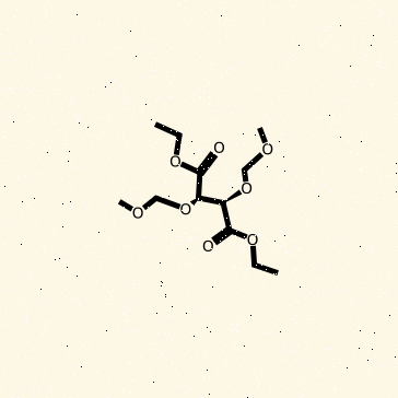 CCOC(=O)[C@H](OCOC)[C@@H](OCOC)C(=O)OCC